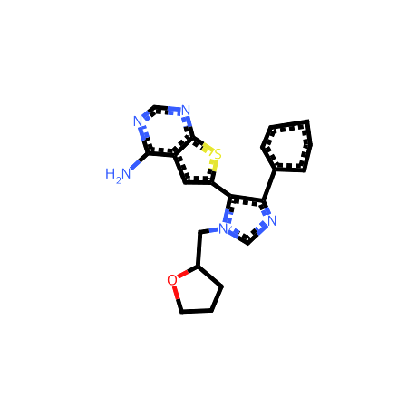 Nc1ncnc2sc(-c3c(-c4ccccc4)ncn3CC3CCCO3)cc12